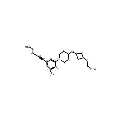 CC(C)(C)COC1CC(OC2CCN(c3cc(C#CCOC(C)(C)C)cc(C(F)(F)F)n3)CC2)C1